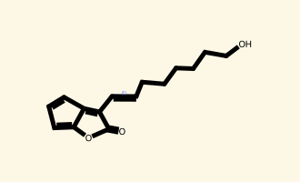 O=C1OC2=CC=CC2=C1/C=C/CCCCCCO